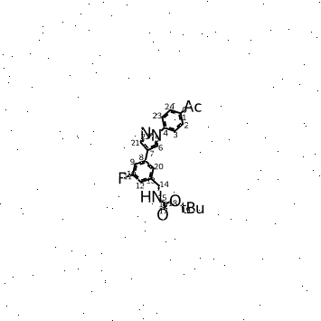 CC(=O)c1ccc(-n2cc(-c3cc(F)cc(CNC(=O)OC(C)(C)C)c3)cn2)cc1